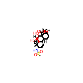 CC1(C)C(=O)C23[C@@H](CC[C@@H]1[C@@H]2O)[C@]12C=C[C@H](NS(C)(=O)=O)C(C)(C)[C@H]1[C@H](O)[C@@]3(O)OC2